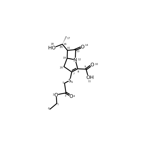 CCOC(=O)CSC1=C(C(=O)O)N2C(=O)C([C@@H](C)O)C2C1